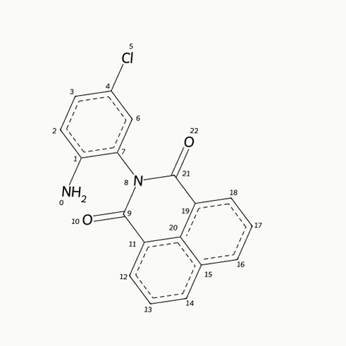 Nc1ccc(Cl)cc1N1C(=O)c2cccc3cccc(c23)C1=O